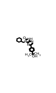 CC(C)(O)c1ccc(-c2cnc3[nH]c(=O)n(CC4CCCCC4)c3n2)cc1